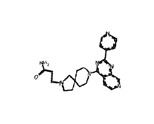 NC(=O)CCN1CCC2(CCN(c3nc(-c4ccncc4)nc4cnccc34)CC2)C1